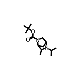 CC(C)N1C2CC(C1C)N(C(=O)OC(C)(C)C)C2